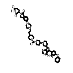 Nc1ncnc2c1c(-c1ccc(Oc3ccccc3)cc1)nn2C1CCCN(C2CCN(C(=O)N3CCC(CCN4CCN(c5ccc6c(c5)CN(C5CCC(=O)NC5=O)C6=O)CC4)CC3)CC2)C1